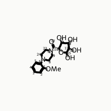 COc1ccccc1N1CCN(C(=O)[C@H]2OC(O)[C@H](O)[C@@H](O)[C@@H]2O)CC1